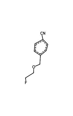 N#Cc1ccc(COCCF)cc1